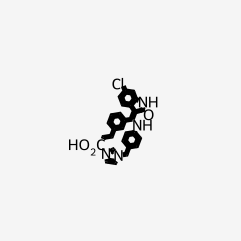 O=C(O)CCc1cccc(/C(Nc2ccc(Cn3ccnc3)cc2)=C2/C(=O)Nc3cc(Cl)ccc32)c1